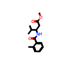 COC(=O)CC(NC(=O)c1ccccc1C)C(C)C